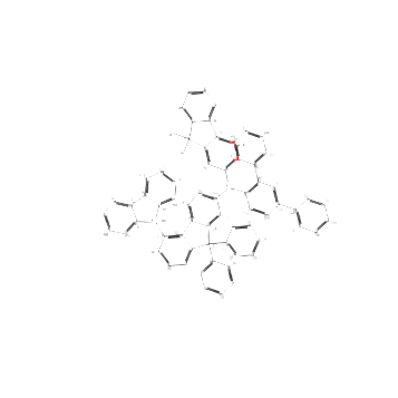 CC1(C)c2ccccc2-c2ccc(N(c3ccc4c(c3)C(c3ccccc3)(c3ccccc3)c3cccc(-n5c6ccccc6c6ccccc65)c3-4)c3ccc(-c4ccccc4)cc3-c3ccccc3)cc21